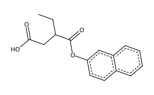 CCC(CC(=O)O)C(=O)Oc1ccc2ccccc2c1